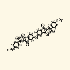 CCCc1ccc(S(=O)(=O)ON2C(=O)c3ccc(Oc4ccc5c(c4)C(=O)N(OS(=O)(=O)c4ccc(CCC)cc4)C5=O)cc3C2=O)cc1